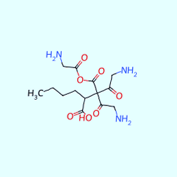 CCCCC(C(=O)O)C(C(=O)CN)(C(=O)CN)C(=O)OC(=O)CN